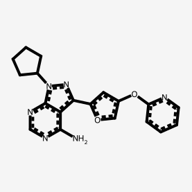 Nc1ncnc2c1c(-c1cc(Oc3ccccn3)co1)nn2C1CCCC1